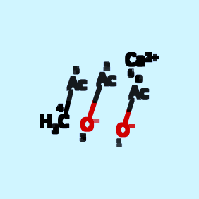 CC(=O)[O-].CC(=O)[O-].CC(C)=O.[Ca+2]